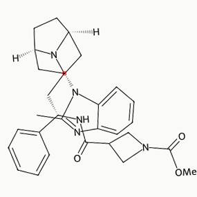 COC(=O)N1CC(C(=O)N[C@@H](CCN2[C@@H]3CC[C@H]2C[C@H](n2c(C)nc4ccccc42)C3)c2ccccc2)C1